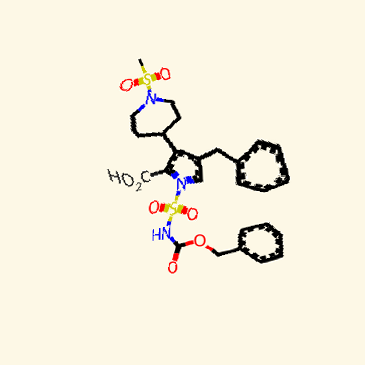 CS(=O)(=O)N1CCC(c2c(Cc3ccccc3)cn(S(=O)(=O)NC(=O)OCc3ccccc3)c2C(=O)O)CC1